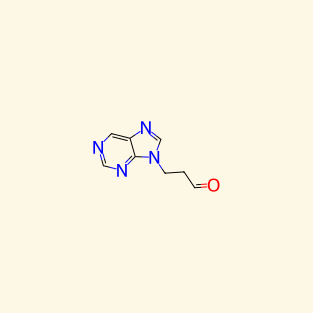 O=CCCn1cnc2cncnc21